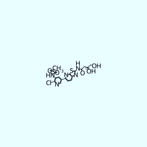 CS(=O)(=O)Nc1cc(-c2ccc3nc(NC(=O)C[C@H](O)CO)sc3n2)cnc1Cl